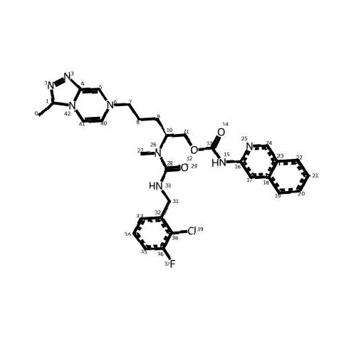 CC1N=NC2=CN(CCC[C@@H](COC(=O)Nc3cc4ccccc4cn3)N(C)C(=O)NCc3cccc(F)c3Cl)C=CN21